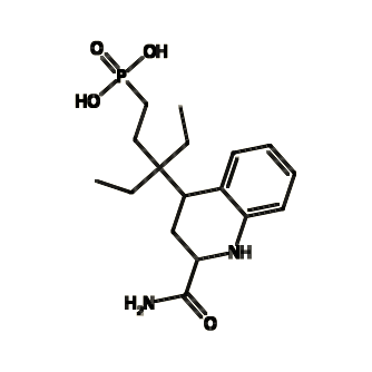 CCC(CC)(CCP(=O)(O)O)C1CC(C(N)=O)Nc2ccccc21